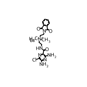 C[N+](C)(CCNC(=O)c1nc(Cl)c(N)nc1N)CCN1C(=O)c2ccccc2C1=O.[Br-]